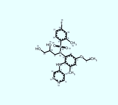 CCOc1cc(C)c(Nc2ccnnc2)c(N(CC(O)CO)S(=O)(=O)c2ccc(F)cc2C)c1